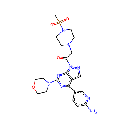 CS(=O)(=O)N1CCN(CC(=O)n2ncc3c(-c4ccc(N)nc4)nc(N4CCOCC4)nc32)CC1